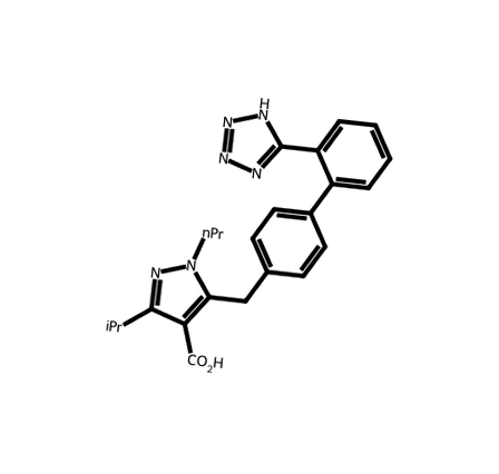 CCCn1nc(C(C)C)c(C(=O)O)c1Cc1ccc(-c2ccccc2-c2nnn[nH]2)cc1